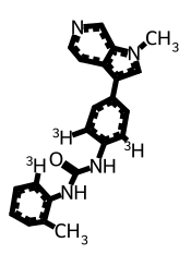 [3H]c1cc(-c2cn(C)c3cnccc23)cc([3H])c1NC(=O)Nc1c([3H])cccc1C